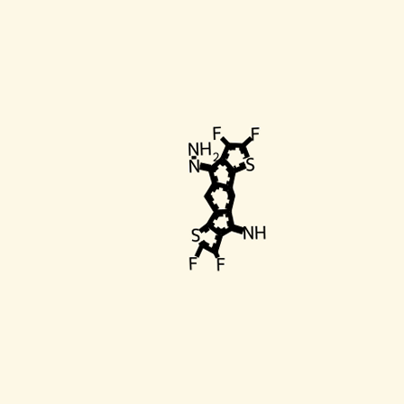 N=c1c2cc3c(cc2c2sc(F)c(F)c12)/c(=N/N)c1c(F)c(F)sc13